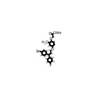 COC(=O)COc1ccc(OC/C=C(/c2ccc(F)cc2)c2ccc(Br)cc2)cc1C